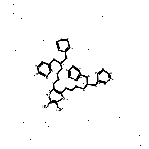 OC1=C(O)OC(CCCCC(Cc2ccccc2)Cc2ccccc2)=C(CCCCC(Cc2ccccc2)Cc2ccccc2)O1